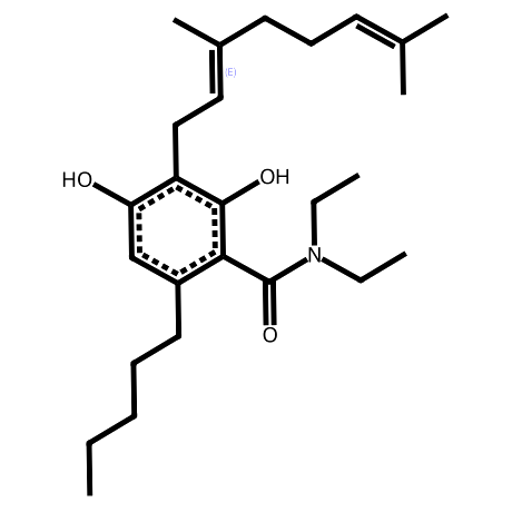 CCCCCc1cc(O)c(C/C=C(\C)CCC=C(C)C)c(O)c1C(=O)N(CC)CC